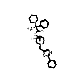 C[C@@](C(=O)O[C@H]1C[N+]2(Cc3cnc(-c4ccccc4)o3)CCC1CC2)(c1ccccc1)N1CCCCC1